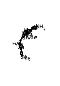 COc1ccc(C2=CC3C(=O)c4cc(C)c(OCCCOc5cc6c(cc5OC)C(=O)N5C=C(c7ccc(N)cc7)C[C@H]5C=N6)cc4N=C[C@@H]3C2)cc1